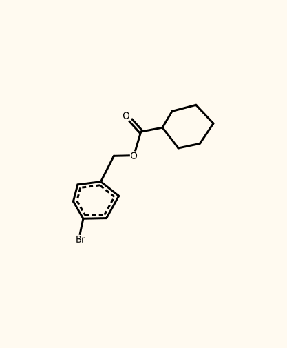 O=C(OCc1ccc(Br)cc1)C1CCCCC1